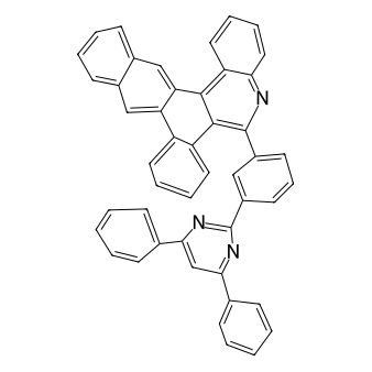 c1ccc(-c2cc(-c3ccccc3)nc(-c3cccc(-c4nc5ccccc5c5c6cc7ccccc7cc6c6ccccc6c45)c3)n2)cc1